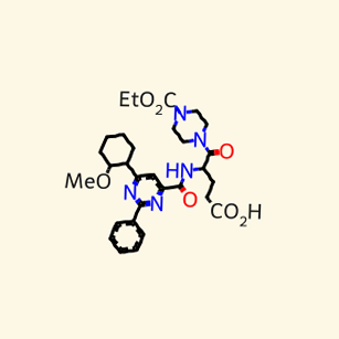 CCOC(=O)N1CCN(C(=O)C(CCC(=O)O)NC(=O)c2cc(C3CCCCC3OC)nc(-c3ccccc3)n2)CC1